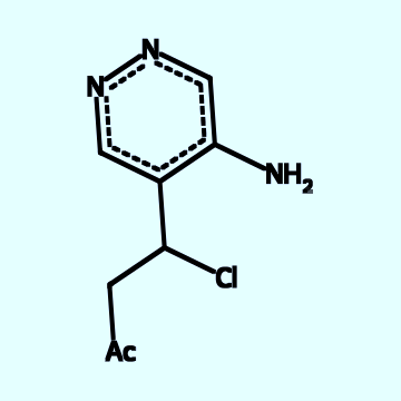 CC(=O)CC(Cl)c1cnncc1N